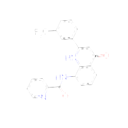 O=C(Nc1cccc2c(=O)cc(-c3cccc(C(F)(F)F)c3)[nH]c12)c1ccccn1